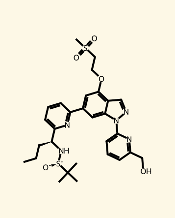 CCC[C@H](N[S@+]([O-])C(C)(C)C)c1cccc(-c2cc(OCCS(C)(=O)=O)c3cnn(-c4cccc(CO)n4)c3c2)n1